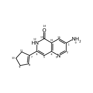 Nc1cnc2cc(C3=CCCC3)[nH]c(=O)c2c1